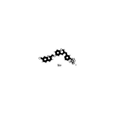 O=S(=O)(Nc1cccc(CC2COc3ccc(OCc4ccc5ccc(Cl)cc5n4)cc3C2)c1)C(F)(F)F.[Na]